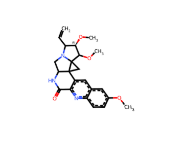 C=CC1[C@@H](OC)C(OC)C23CC24c2cc5cc(OC)ccc5nc2C(=O)NC4CN13